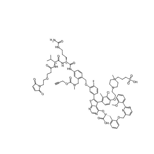 C#CCOC(=O)N(C)Cc1cc(NC(=O)[C@H](CCCNC(N)=O)NC(=O)[C@@H](NC(=O)CCOCCN2C(=O)C=CC2=O)C(C)C)ccc1COc1cc(-c2sc3ncnc(O[C@H](Cc4ccccc4OCc4ccnc(-c5ccccc5OC)n4)C(=O)O)c3c2-c2ccc(OCCN3CC[N+](C)(CCCS(=O)(=O)O)CC3)c(Cl)c2C)ccc1F